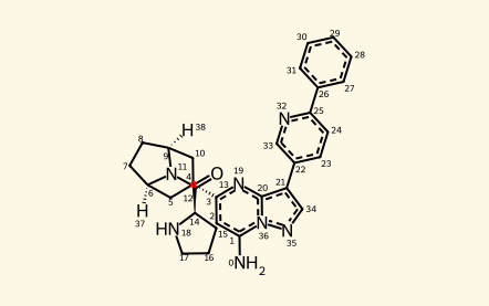 Nc1cc([C@@H]2C[C@H]3CC[C@@H](C2)N3C(=O)[C@H]2CCCN2)nc2c(-c3ccc(-c4ccccc4)nc3)cnn12